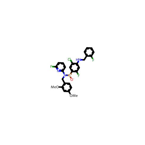 COc1ccc(CN(c2cccc(F)n2)[S+]([O-])c2cc(Cl)c(NCc3ccccc3F)cc2F)c(OC)c1